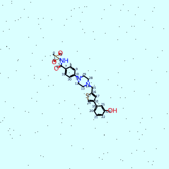 CS(=O)(=O)NC(=O)c1ccc(N2CCN(Cc3cc(-c4cccc(O)c4)cs3)CC2)cc1